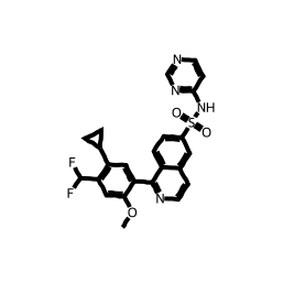 COc1cc(C(F)F)c(C2CC2)cc1-c1nccc2cc(S(=O)(=O)Nc3ccncn3)ccc12